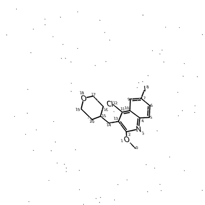 COc1nc2ccc(I)cc2c(Cl)c1CC1CCOCC1